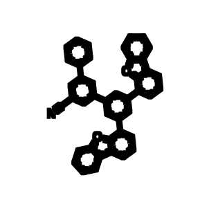 N#Cc1cc(-c2ccccc2)cc(-c2cc(-c3cccc4c3oc3ccccc34)cc(-c3cccc4c3oc3ccccc34)c2)c1